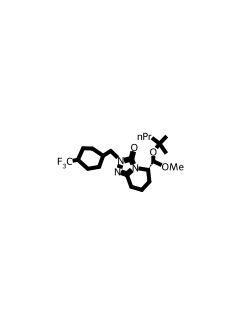 CCCC(C)(C)OC(OC)[C@@H]1CCCc2nn(CC3CCC(C(F)(F)F)CC3)c(=O)n21